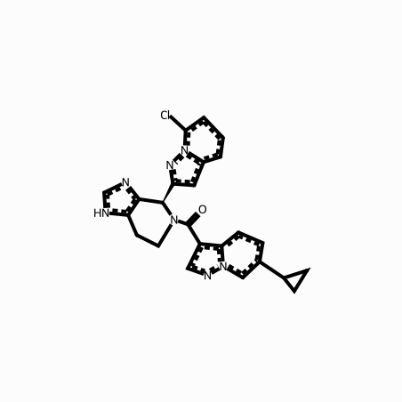 O=C(c1cnn2cc(C3CC3)ccc12)N1CCc2[nH]cnc2[C@H]1c1cc2cccc(Cl)n2n1